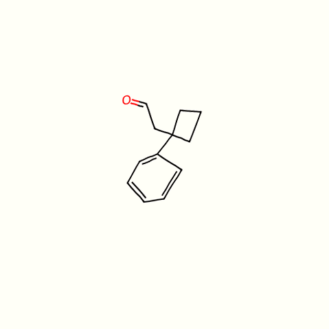 O=CCC1(c2ccccc2)CCC1